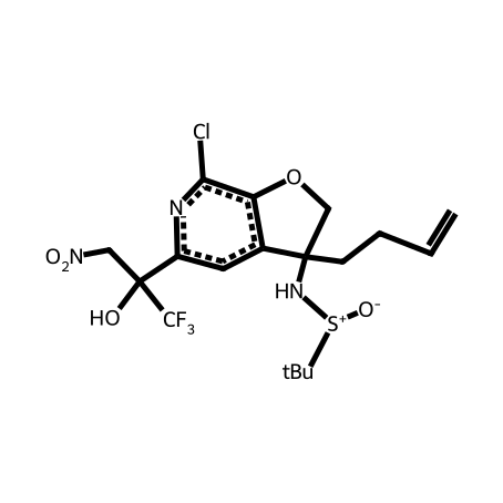 C=CCCC1(N[S+]([O-])C(C)(C)C)COc2c1cc(C(O)(C[N+](=O)[O-])C(F)(F)F)nc2Cl